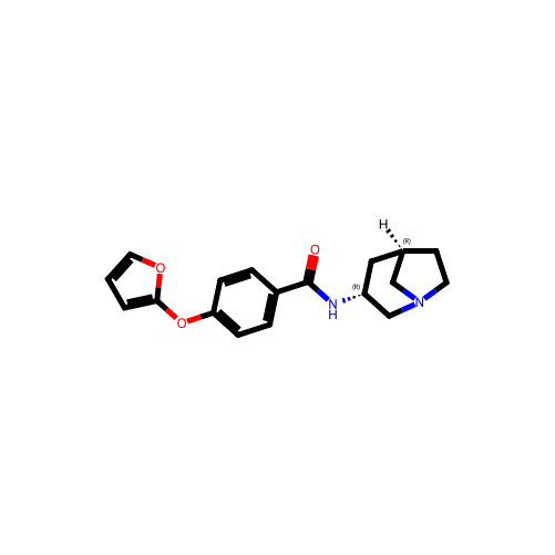 O=C(N[C@@H]1C[C@H]2CCN(C2)C1)c1ccc(Oc2ccco2)cc1